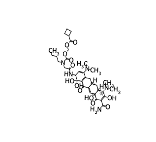 CCCCN(CC(=O)NC1C=C(N(C)C)C2=C(C(=O)C3=C[C@@]4(O)C(=O)C(C(N)=O)=C(O)[C@@H](N(C)C)[C@@H]4C[C@@H]3C2)C1(O)O)C(=O)OCOC(=O)C1CCC1